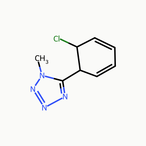 Cn1nnnc1C1C=CC=CC1Cl